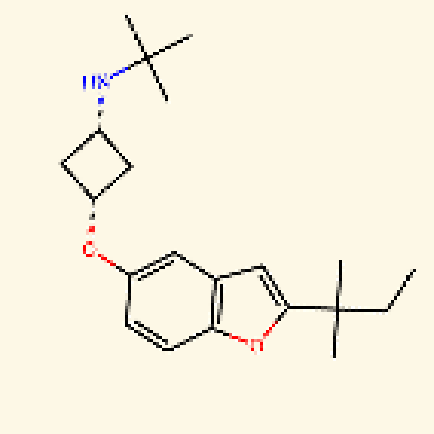 CCC(C)(C)c1cc2cc(O[C@H]3C[C@@H](NC(C)(C)C)C3)ccc2o1